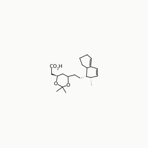 C[C@H]1C=CC2=CCCCC2[C@H]1CCC1C[C@H](CC(=O)O)OC(C)(C)O1